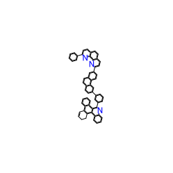 C1=Cc2c(c3c4ccccc4nc(-c4cccc(-c5ccc6ccc7cc(-c8ccc9ccc%10ccc(-c%11ccccc%11)nc%10c9n8)ccc7c6c5)c4)c3c3ccccc23)CC1